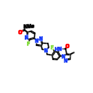 CNC(=O)c1ccc(-n2cc3c(n2)CCN(Cc2ccc4c([nH]c(=O)c5c(C)cnn54)c2F)C3)c(F)n1